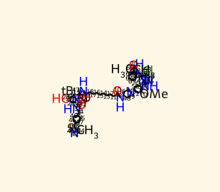 COc1cc(N2CCC(NC(=O)CCCCCCCCC(=O)NC(C(=O)N3C[C@H](O)C[C@H]3C(=O)NCc3ccc(-c4scnc4C)cc3)C(C)(C)C)CC2)ccc1Nc1ncc(Cl)c(Nc2ccccc2P(C)(C)=O)n1